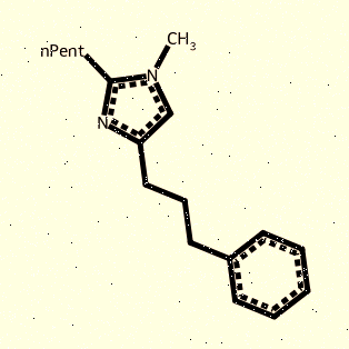 CCCCCc1nc(CCCc2ccccc2)cn1C